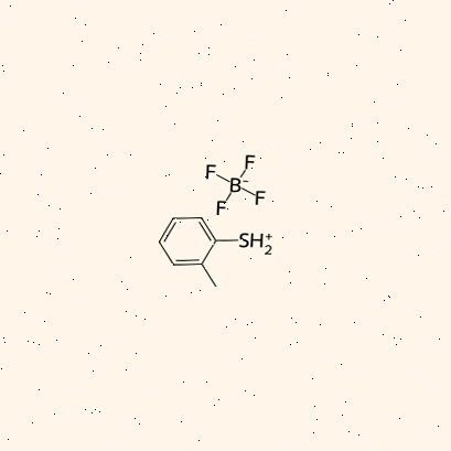 Cc1ccccc1[SH2+].F[B-](F)(F)F